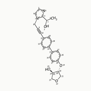 CC(O)c1nccn1CC#Cc1ccc(-c2ccc(O[C@@H]3COC[C@H]3O)cc2)cc1